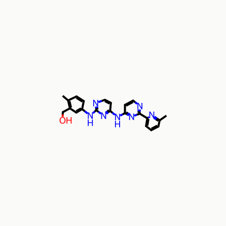 Cc1cccc(-c2nccc(Nc3ccnc(Nc4ccc(C)c(CO)c4)n3)n2)n1